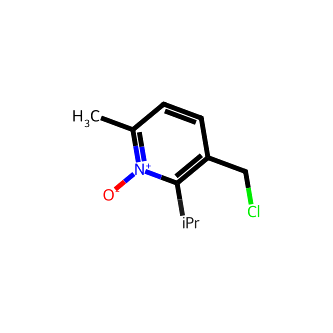 Cc1ccc(CCl)c(C(C)C)[n+]1[O-]